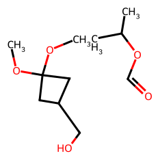 CC(C)OC=O.COC1(OC)CC(CO)C1